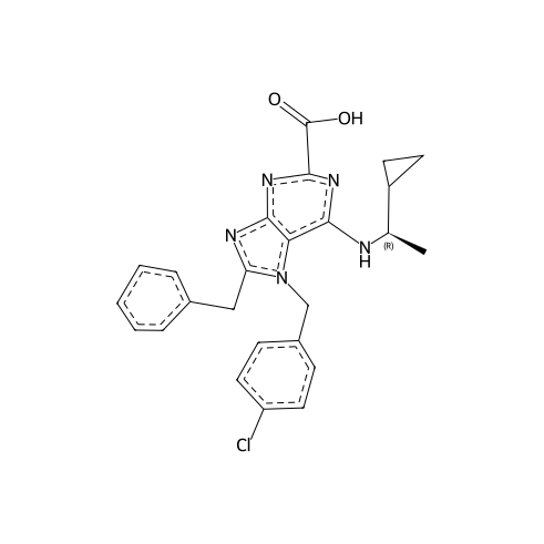 C[C@@H](Nc1nc(C(=O)O)nc2nc(Cc3ccccc3)n(Cc3ccc(Cl)cc3)c12)C1CC1